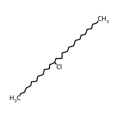 CCCCCCCCCCCCCCCC(Cl)CCCCCCCCCCCC